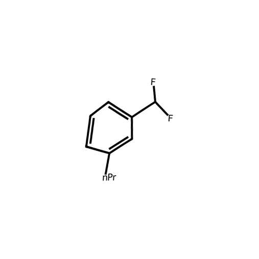 C[CH]Cc1cccc(C(F)F)c1